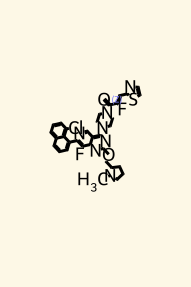 CN1CCCC1COc1nc(N2CCN(C(=O)/C(F)=C/c3nccs3)CC2)c2cnc(-c3cccc4cccc(Cl)c34)c(F)c2n1